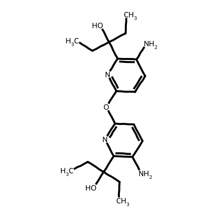 CCC(O)(CC)c1nc(Oc2ccc(N)c(C(O)(CC)CC)n2)ccc1N